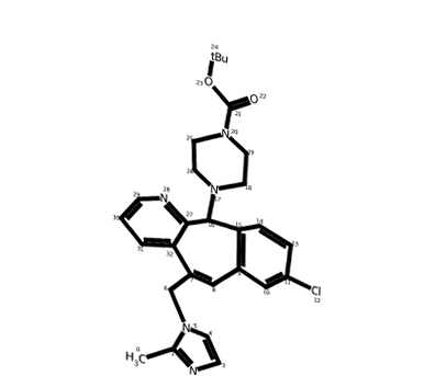 Cc1nccn1CC1=Cc2cc(Cl)ccc2C(N2CCN(C(=O)OC(C)(C)C)CC2)c2ncccc21